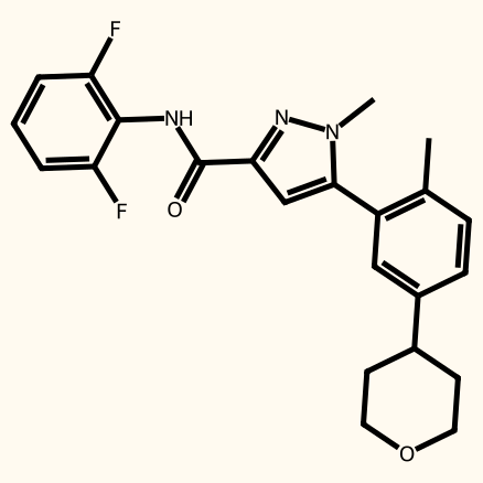 Cc1ccc(C2CCOCC2)cc1-c1cc(C(=O)Nc2c(F)cccc2F)nn1C